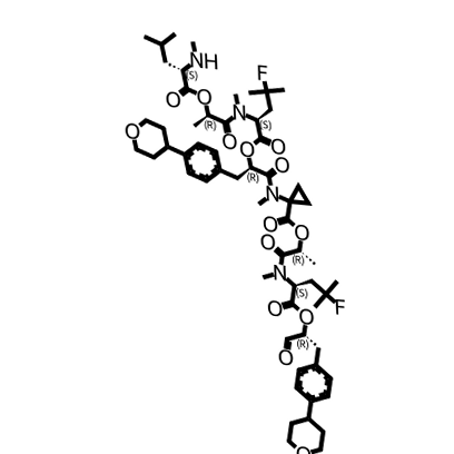 CN[C@@H](CC(C)C)C(=O)O[C@H](C)C(=O)N(C)[C@@H](CC(C)(C)F)C(=O)O[C@H](Cc1ccc(C2CCOCC2)cc1)C(=O)N(C)C1(C(=O)O[C@H](C)C(=O)N(C)[C@@H](CC(C)(C)F)C(=O)O[C@@H](C=O)Cc2ccc(C3CCOCC3)cc2)CC1